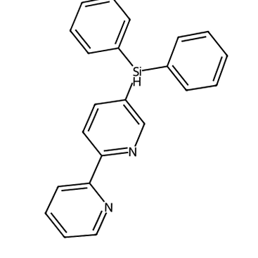 c1ccc([SiH](c2ccccc2)c2ccc(-c3ccccn3)nc2)cc1